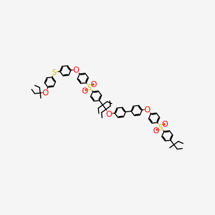 CCC(C)(CC)Oc1ccc(Sc2ccc(Oc3ccc(S(=O)(=O)c4ccc(C(CC)(CC)C(CC)(CC)Oc5ccc(-c6ccc(Oc7ccc(S(=O)(=O)c8ccc(C(C)(CC)CC)cc8)cc7)cc6)cc5)cc4)cc3)cc2)cc1